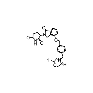 [2H]C1CN(Cc2ccc(COc3cccc4c3CN(C3CCC(=O)NC3=O)C4=O)cc2)C([2H])CO1